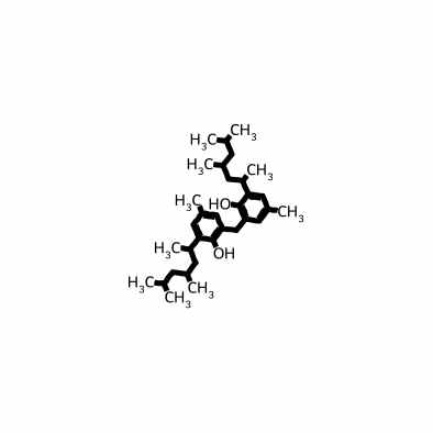 Cc1cc(Cc2cc(C)cc(C(C)CC(C)CC(C)C)c2O)c(O)c(C(C)CC(C)CC(C)C)c1